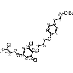 CC(C)CON=CCc1ccc(OCCCOc2c(Cl)cc(OCC=C(Cl)Cl)cc2Cl)nc1